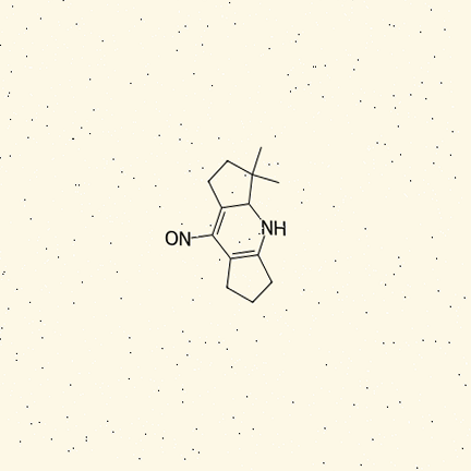 CC1(C)CCC2=C(N=O)C3=C(CCC3)NC21